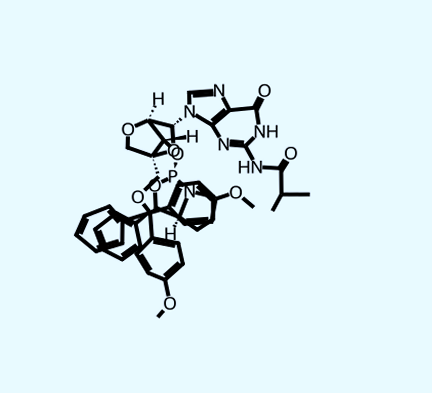 COc1ccc(C(OC[C@@]23CO[C@@H]([C@H](n4cnc5c(=O)[nH]c(NC(=O)C(C)C)nc54)O2)[C@@H]3O[P@@]2O[C@H](c3ccccc3)[C@@H]3CCCN32)(c2ccccc2)c2ccc(OC)cc2)cc1